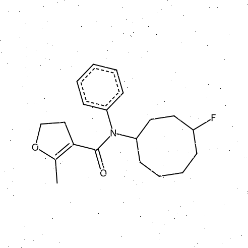 CC1=C(C(=O)N(c2ccccc2)C2CCCCC(F)CC2)CCO1